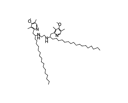 CCCCCCCCCCCCCCCCCC(Cc1ncc(C)c(OC)c1C)NCCNC(CCCCCCCCCCCCCCCCC)Cc1ncc(C)c(OC)c1C